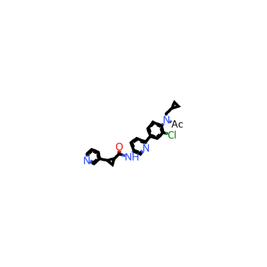 CC(=O)N(CC1CC1)c1ccc(-c2ccc(NC(=O)C3CC3c3cccnc3)cn2)cc1Cl